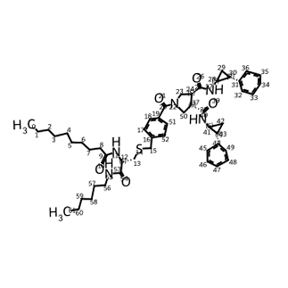 CCCCCCCCCC(=O)N[C@H](CSCc1ccc(C(=O)N2C[C@@H](C(=O)N[C@H]3C[C@@H]3c3ccccc3)[C@H](C(=O)N[C@H]3C[C@@H]3c3ccccc3)C2)cc1)C(=O)NCCCCCC